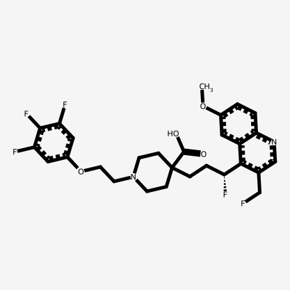 COc1ccc2ncc(CF)c([C@H](F)CCC3(C(=O)O)CCN(CCOc4cc(F)c(F)c(F)c4)CC3)c2c1